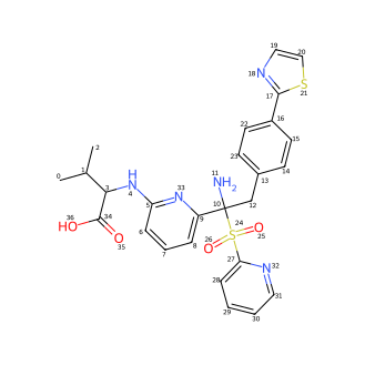 CC(C)C(Nc1cccc(C(N)(Cc2ccc(-c3nccs3)cc2)S(=O)(=O)c2ccccn2)n1)C(=O)O